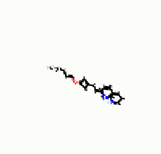 O=C(O)CCCO[C@H]1C[C@@H](CCc2ccc3c(n2)NCCC3)C1